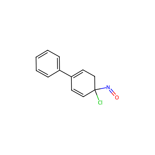 O=NC1(Cl)C=CC(c2ccccc2)=CC1